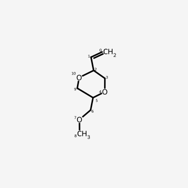 C=CC1COC(COC)CO1